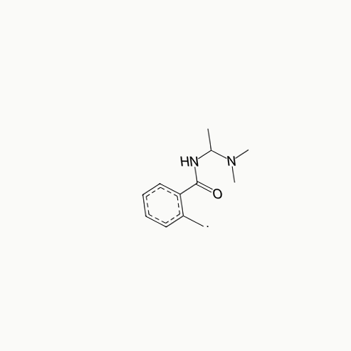 [CH2]c1ccccc1C(=O)NC(C)N(C)C